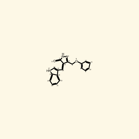 O=C1NN=C(COc2ccccc2)/C1=C/c1c[nH]c2ccccc12